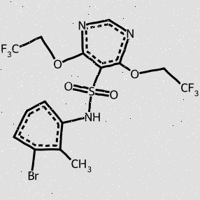 Cc1c(Br)cccc1NS(=O)(=O)c1c(OCC(F)(F)F)ncnc1OCC(F)(F)F